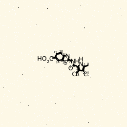 Cc1[nH]c(C(=O)Nc2nc3ccc(C(=O)O)cc3s2)c(Cl)c1Cl